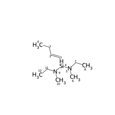 CCC=C[SiH](N(C)CC)N(C)CC